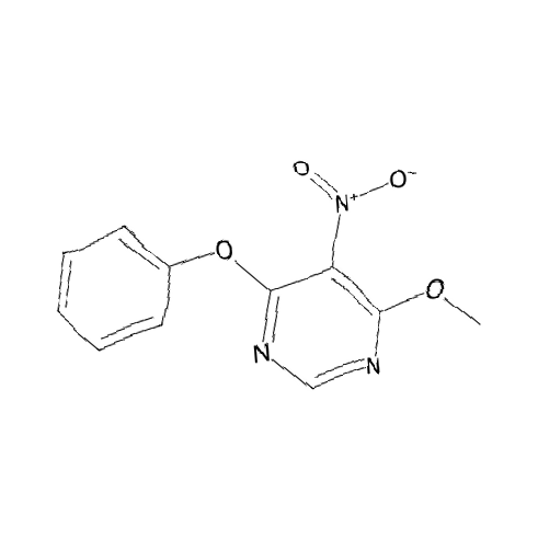 COc1ncnc(Oc2ccccc2)c1[N+](=O)[O-]